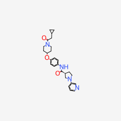 O=C(Nc1ccc(OC2CCN(C(=O)CC3CC3)CC2)cc1)[C@H]1CCN(c2cccnc2)C1